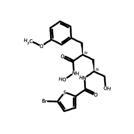 COc1cccc(C[C@@H](C[C@@H](CO)NC(=O)c2ccc(Br)s2)C(=O)NO)c1